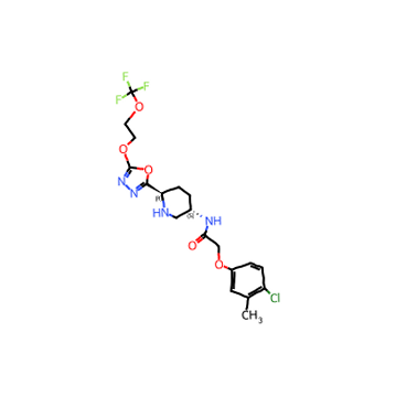 Cc1cc(OCC(=O)N[C@H]2CC[C@H](c3nnc(OCCOC(F)(F)F)o3)NC2)ccc1Cl